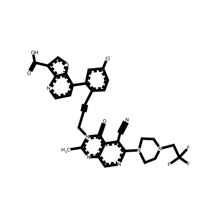 Cc1nc2cnc(N3CCN(CC(F)(F)F)CC3)c(C#N)c2c(=O)n1CC#Cc1ccc(Cl)cc1-c1ccnc2c(C(=O)O)csc12